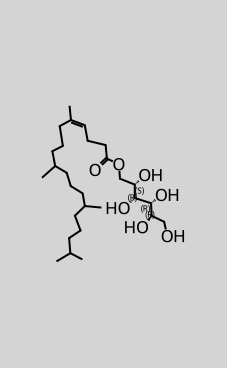 CC(=CCCC(=O)OC[C@H](O)[C@@H](O)[C@H](O)[C@H](O)CO)CCCC(C)CCCC(C)CCCC(C)C